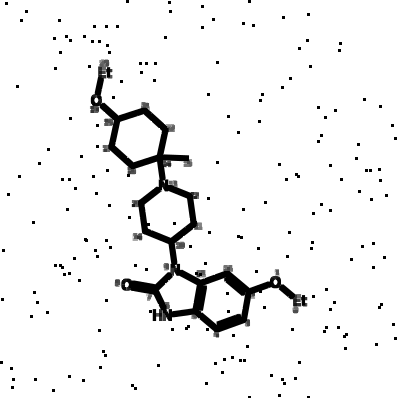 CCOc1ccc2[nH]c(=O)n(C3CCN(C4(C)CCC(OCC)CC4)CC3)c2c1